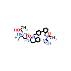 CC(=O)N(Cc1ccccc1-c1ccc(CN2C(=O)[C@H](NC(=O)CC(C)(C)NC[C@@H](C)O)CCc3ccccc32)cc1)c1c[nH]cn1